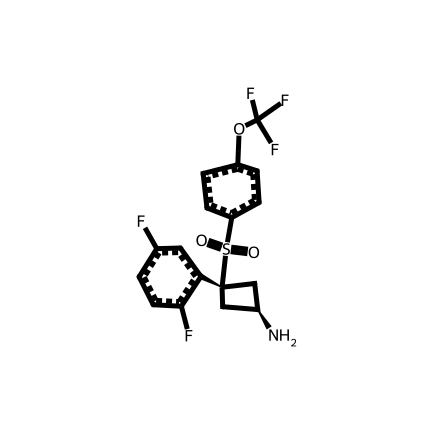 N[C@H]1C[C@](c2cc(F)ccc2F)(S(=O)(=O)c2ccc(OC(F)(F)F)cc2)C1